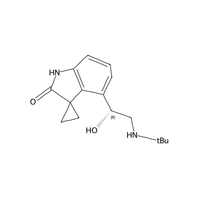 CC(C)(C)NC[C@H](O)c1cccc2c1C1(CC1)C(=O)N2